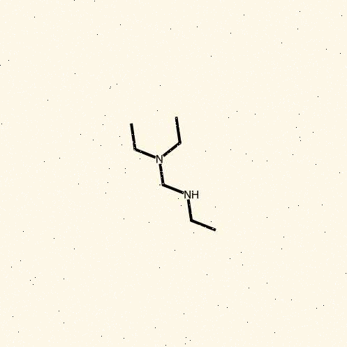 CCN[CH]N(CC)CC